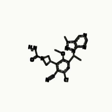 COc1c(C(C)n2nc(C)c3cncnc32)cc(Cl)c(C#N)c1C1CN(C(N)=O)C1